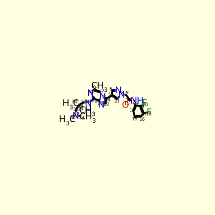 Cc1cn2c(-c3cnn(CC(=O)Nc4cccc(F)c4F)c3)cnc2c(NCC(C)(C)CN(C)C)n1